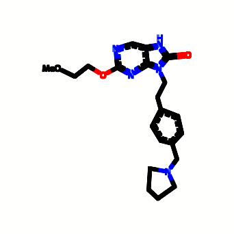 COCCOc1ncc2[nH]c(=O)n(CCc3ccc(CN4CCCC4)cc3)c2n1